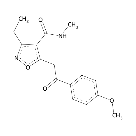 CCc1noc(CC(=O)c2ccc(OC)cc2)c1C(=O)NC